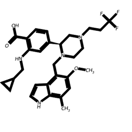 COc1cc(C)c2[nH]ccc2c1CN1CCN(CCC(F)(F)F)C[C@@H]1c1ccc(C(=O)O)c(NCC2CC2)c1